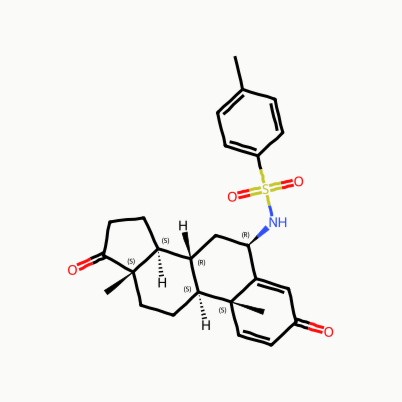 Cc1ccc(S(=O)(=O)N[C@@H]2C[C@@H]3[C@H](CC[C@]4(C)C(=O)CC[C@@H]34)[C@@]3(C)C=CC(=O)C=C23)cc1